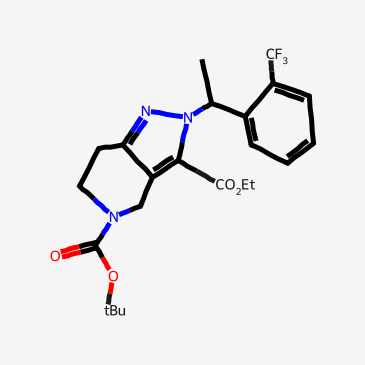 CCOC(=O)c1c2c(nn1C(C)c1ccccc1C(F)(F)F)CCN(C(=O)OC(C)(C)C)C2